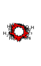 CCCC[C@H]1C(=O)N(C)CC(=O)N[C@@H](CC(=O)O)C(=O)N[C@@H](C(C)C)C(=O)N(C)[C@@H](Cc2ccccc2)C(=O)N[C@@H](Cc2ccc(O)cc2)C(=O)N(C)CC(=O)N[C@@H](Cc2nc3ccccc3s2)C(=O)N[C@@H](Cc2ccc(O)cc2)C(=O)N[C@@H](CC(C)C)C(=O)N[C@H](C(=O)NCC(N)=O)CSCC(=O)N[C@@H](Cc2ccccc2)C(=O)N(C)[C@@H](Cc2ccccc2)C(=O)N1C